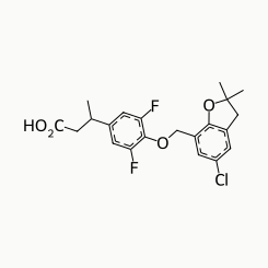 CC(CC(=O)O)c1cc(F)c(OCc2cc(Cl)cc3c2OC(C)(C)C3)c(F)c1